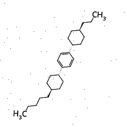 CCCCC[C@H]1CC[C@H](c2ccc([C@H]3CC[C@H](CCC)CC3)cc2)CC1